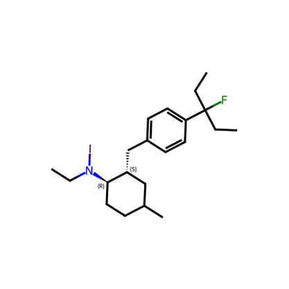 CCN(I)[C@@H]1CCC(C)C[C@H]1Cc1ccc(C(F)(CC)CC)cc1